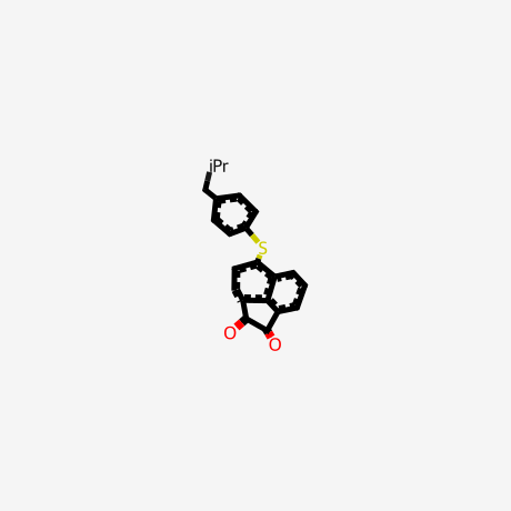 CC(C)Cc1ccc(Sc2ccc3c4c(cccc24)C(=O)C3=O)cc1